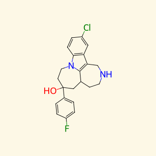 OC1(c2ccc(F)cc2)CCn2c3c(c4cc(Cl)ccc42)CNCCC3C1